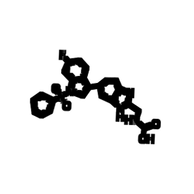 O=C(O)NCc1nc2ccc(-c3cn(S(=O)(=O)c4ccccc4)c4cc(F)ccc34)cc2[nH]1